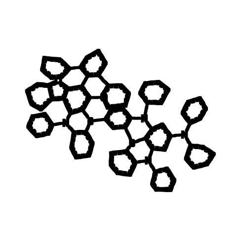 c1ccc(-c2cccc(-c3ccccc3)c2-c2c3c4c(c5c2oc2ccccc25)N(c2ccccc2)c2ccccc2B4c2cc4c(cc2O3)N(c2ccccc2)c2cc(N(c3ccccc3)c3ccccc3)cc3c2B4c2ccccc2N3c2ccccc2)cc1